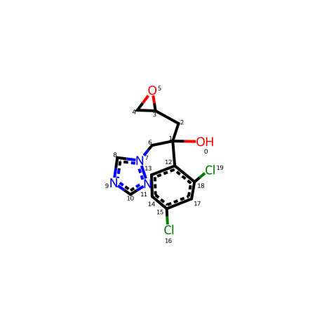 OC(CC1CO1)(Cn1cncn1)c1ccc(Cl)cc1Cl